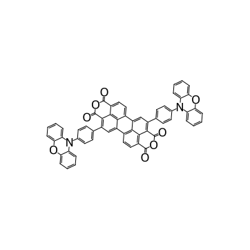 O=C1OC(=O)c2c(-c3ccc(N4c5ccccc5Oc5ccccc54)cc3)cc3c4ccc5c6c(c(-c7ccc(N8c9ccccc9Oc9ccccc98)cc7)cc(c7ccc1c2c73)c64)C(=O)OC5=O